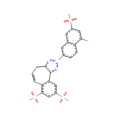 O=S(=O)(O)c1cc2c(c(S(=O)(=O)O)c1)C=CCc1nn(-c3ccc4c(O)cc(S(=O)(=O)O)cc4c3)nc1-2